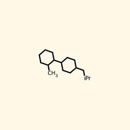 CC(C)CC1CCC(C2CCCCC2C)CC1